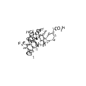 CCN(CC1CCC(CC(=O)O)CC1)c1ccc(OC(F)(F)F)cc1CN(Cc1cc(C(F)(F)F)cc(C(F)(F)F)c1)c1noc(C)n1.Cl